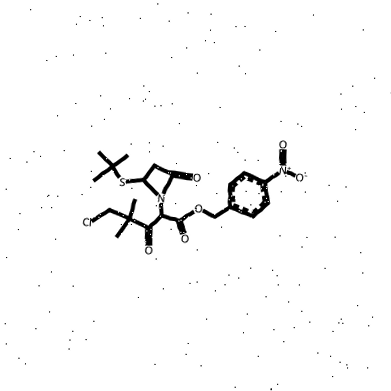 CC(C)(C)SC1CC(=O)N1C(C(=O)OCc1ccc([N+](=O)[O-])cc1)C(=O)C(C)(C)CCl